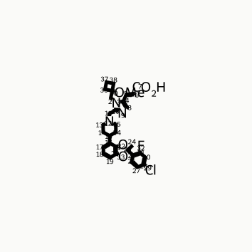 COC1(Cn2c(/C=C/C(=O)O)cnc2CN2CCC(c3cccc4c3OC(C)(c3ccc(Cl)cc3F)O4)CC2)CCC1